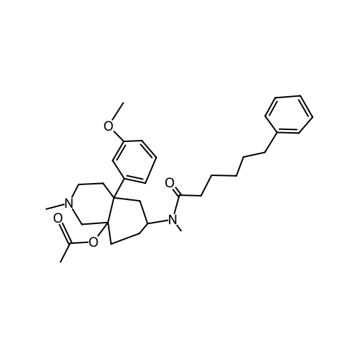 COc1cccc(C23CCN(C)CC2(OC(C)=O)CCC(N(C)C(=O)CCCCCc2ccccc2)C3)c1